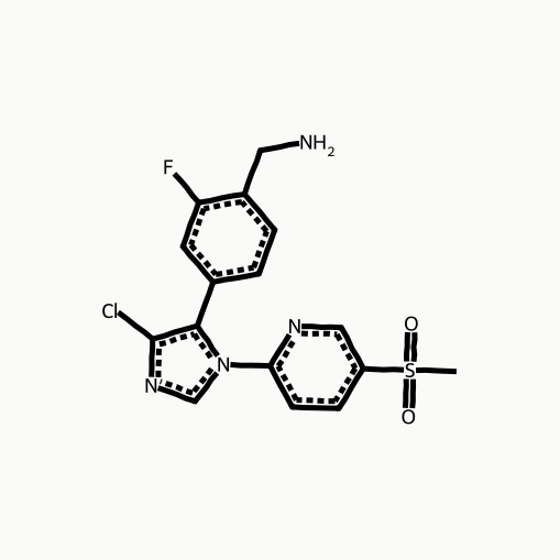 CS(=O)(=O)c1ccc(-n2cnc(Cl)c2-c2ccc(CN)c(F)c2)nc1